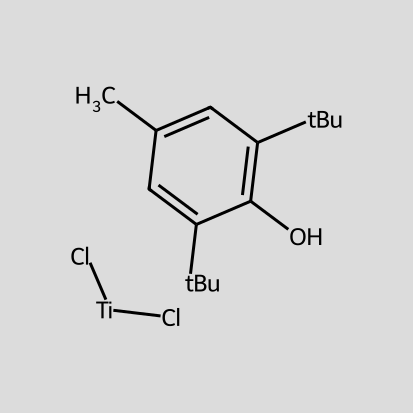 Cc1cc(C(C)(C)C)c(O)c(C(C)(C)C)c1.[Cl][Ti][Cl]